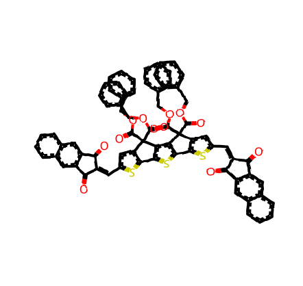 O=C1C(=Cc2cc3c(s2)-c2sc4c(c2C3(C(=O)OCc2ccccc2)C(=O)OCc2ccccc2)C(C(=O)OCc2ccccc2)(C(=O)OCc2ccccc2)c2cc(C=C3C(=O)c5cc6ccccc6cc5C3=O)sc2-4)C(=O)c2cc3ccccc3cc21